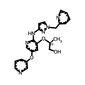 C[C@@H](CO)Oc1cc(Oc2cccnc2)cnc1Nc1ccn(Cc2ccccn2)n1